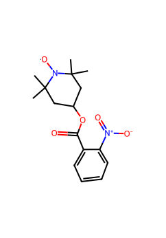 CC1(C)CC(OC(=O)c2ccccc2[N+](=O)[O-])CC(C)(C)N1[O]